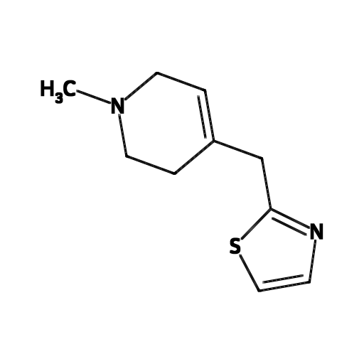 CN1CC=C(Cc2nccs2)CC1